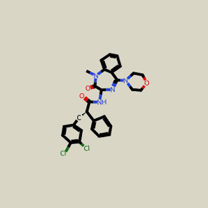 CN1C(=O)C(NC(=O)[C@@H](Cc2ccc(Cl)c(Cl)c2)c2ccccc2)N=C(N2CCOCC2)c2ccccc21